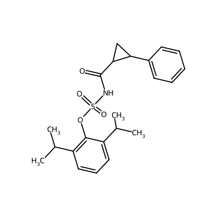 CC(C)c1cccc(C(C)C)c1OS(=O)(=O)NC(=O)C1CC1c1ccccc1